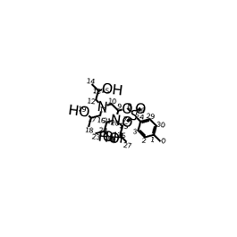 Cc1ccc(S(=O)(=O)OC(CN(CC(C)O)CC(C)O)N(CC(C)O)CC(C)O)cc1